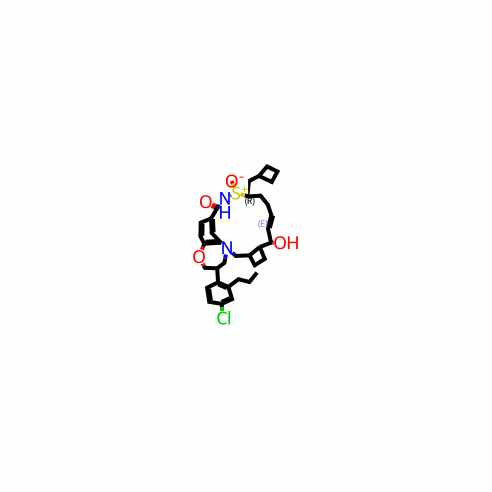 CCCc1cc(Cl)ccc1C1COc2ccc3cc2N(C1)CC1CCC1C(O)/C=C/CC[C@H](CC1CCC1)[S+]([O-])NC3=O